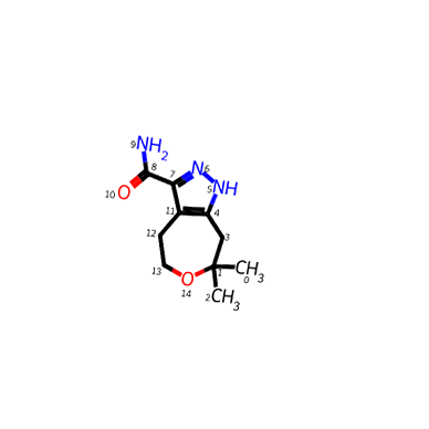 CC1(C)Cc2[nH]nc(C(N)=O)c2CCO1